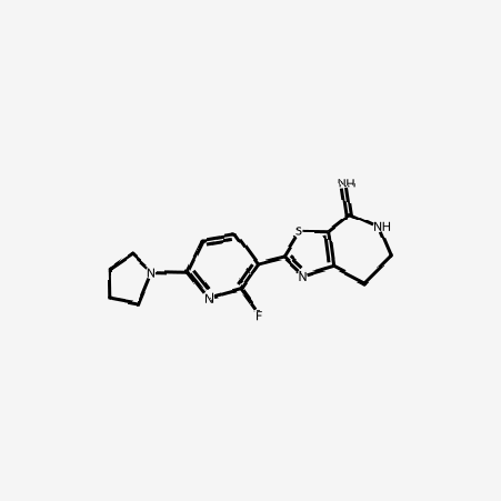 N=C1NCCc2nc(-c3ccc(N4CCCC4)nc3F)sc21